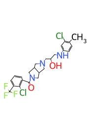 Cc1ccc(NCC(O)CN2CC3CN(C(=O)c4cccc(C(F)(F)F)c4Cl)CC3C2)cc1Cl